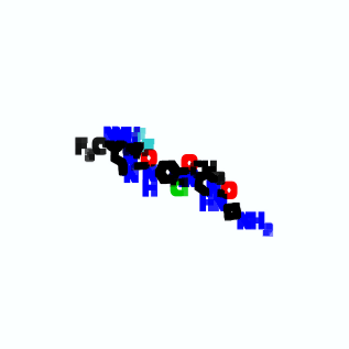 CC1(NC(=O)c2ccc(NC(=O)c3ncc(Cc4c(C(F)(F)F)n[nH]c4[C@H]4CC4(F)F)[nH]3)cc2Cl)CCN(C(=O)NC2CC(N)C2)CC1